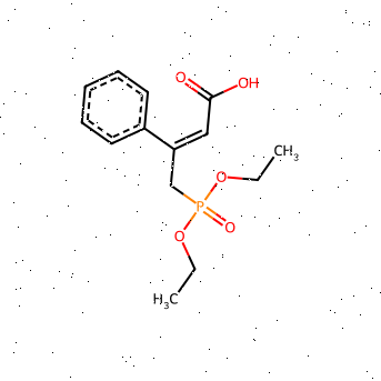 CCOP(=O)(C/C(=C/C(=O)O)c1ccccc1)OCC